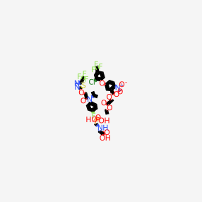 CC(C)N(C(=O)COc1nnc(C(F)(F)F)s1)c1ccc(F)cc1.CCOC(=O)COC(=O)c1cc(Oc2ccc(C(F)(F)F)cc2Cl)ccc1[N+](=O)[O-].O=C(O)CNCP(=O)(O)O